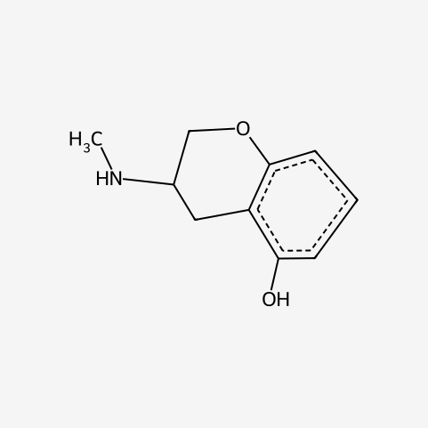 CNC1COc2cccc(O)c2C1